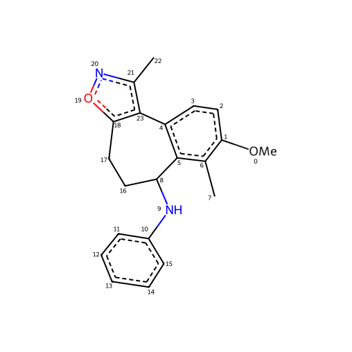 COc1ccc2c(c1C)C(Nc1ccccc1)CCc1onc(C)c1-2